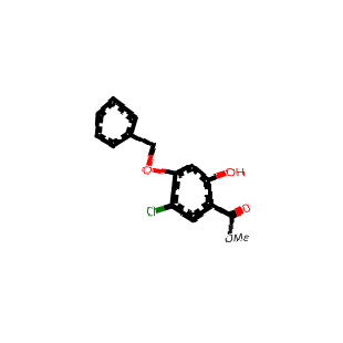 COC(=O)c1cc(Cl)c(OCc2ccccc2)cc1O